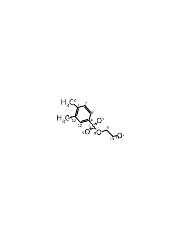 Cc1ccc(S(=O)(=O)OCC[O])cc1C